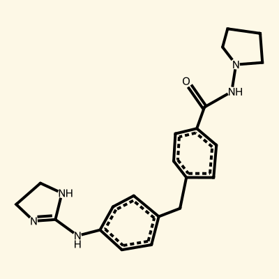 O=C(NN1CCCC1)c1ccc(Cc2ccc(NC3=NCCN3)cc2)cc1